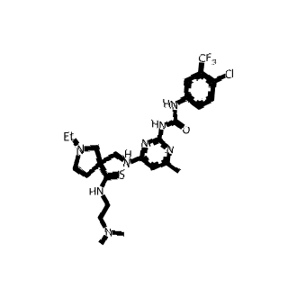 CCN1CCC(CNc2cc(C)nc(NC(=O)Nc3ccc(Cl)c(C(F)(F)F)c3)n2)(C(=S)NCCN(C)C)C1